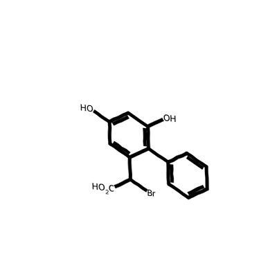 O=C(O)C(Br)c1cc(O)cc(O)c1-c1ccccc1